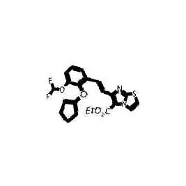 CCOC(=O)c1c(/C=C/c2cccc(OC(F)F)c2OC2CCCC2)nc2sccn12